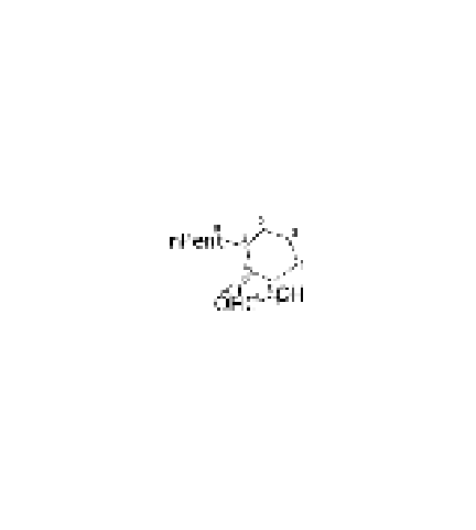 CCCCCC1CCCCC1=O.O=CO